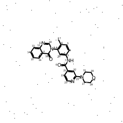 O=C(Nc1ccc(I)c(-n2cnc3ccccc3c2=O)c1)c1ccnc(N2CCOCC2)c1